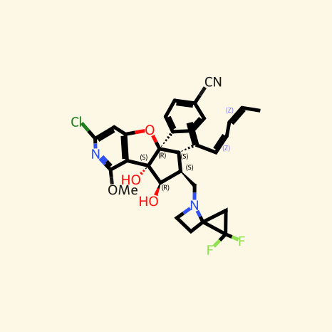 C=C(/C=C\C=C/C)[C@@H]1[C@@H](CN2CCC23CC3(F)F)[C@@H](O)[C@@]2(O)c3c(cc(Cl)nc3OC)O[C@@]12c1ccc(C#N)cc1